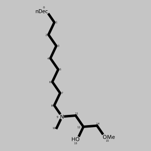 CCCCCCCCCCCCCCCCCCN(C)CC(O)COC